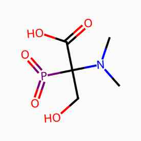 CN(C)C(CO)(C(=O)O)P(=O)=O